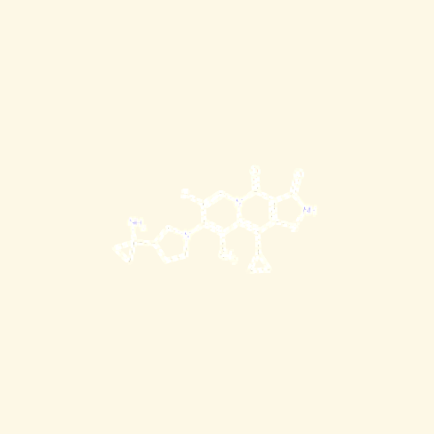 Cc1c(N2CCC(C3(N)CC3)C2)c(F)cn2c(=O)c3c(=O)[nH]sc3c(C3CC3)c12